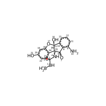 BBC(=O)N[C@]12C(=O)c3c(N)cccc3[C@@]1(O)Oc1cc(O)ccc12